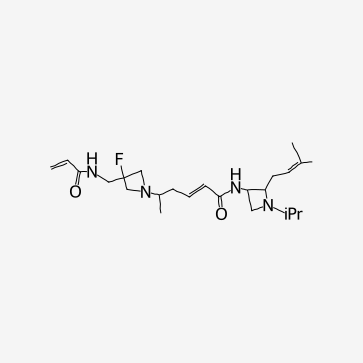 C=CC(=O)NCC1(F)CN(C(C)C/C=C/C(=O)NC2CN(C(C)C)C2CC=C(C)C)C1